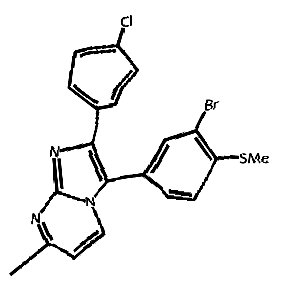 CSc1ccc(-c2c(-c3ccc(Cl)cc3)nc3nc(C)ccn23)cc1Br